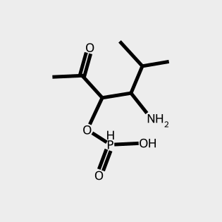 CC(=O)C(O[PH](=O)O)C(N)C(C)C